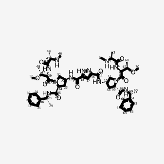 CN[C@@H](C)C(=O)N[C@H](C(=O)N1C[C@@H](NC(=O)c2cc(C(=O)N[C@H]3C[C@@H](C(=O)N[C@H](C)c4ccccc4)N(C(=O)[C@@H](NC(=O)[C@H](C)NC)[C@@H](C)OC)C3)[nH]n2)C[C@H]1C(=O)N[C@H](C)c1ccccc1)[C@@H](C)OC